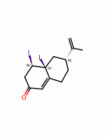 C=C(C)[C@@H]1CCC2=CC(=O)C[C@@H](I)[C@]2(I)C1